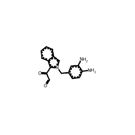 Nc1ccc(Cn2cc3ccccc3c2C(=O)C=O)cc1N